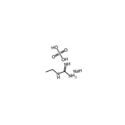 CCNC(=N)N.O=S(=O)(O)O.[NaH]